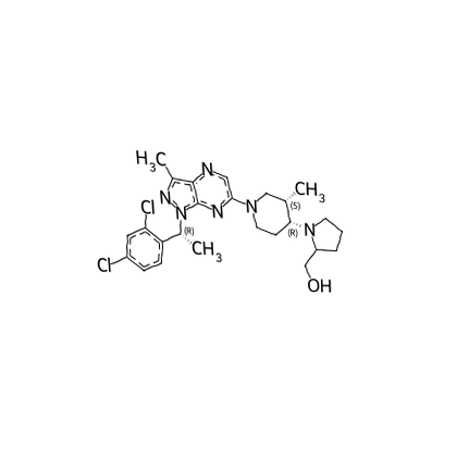 Cc1nn([C@H](C)c2ccc(Cl)cc2Cl)c2nc(N3CC[C@@H](N4CCCC4CO)[C@@H](C)C3)cnc12